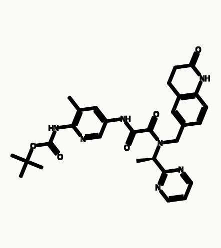 Cc1cc(NC(=O)C(=O)N(Cc2ccc3c(c2)CCC(=O)N3)[C@H](C)c2ncccn2)cnc1NC(=O)OC(C)(C)C